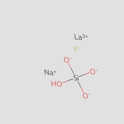 [F-].[La+3].[Na+].[O-][Si]([O-])([O-])O